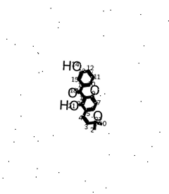 CC1(C)C=Cc2c(cc3oc4ccc(O)cc4c(=O)c3c2O)O1